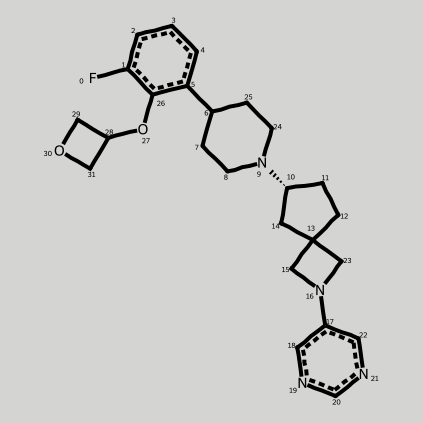 Fc1cccc(C2CCN([C@@H]3CCC4(C3)CN(c3cncnc3)C4)CC2)c1OC1COC1